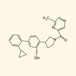 Cc1cncc(C(=O)N2CCC(c3ccc(-c4ccccc4C4CC4)cc3CO)C2)n1